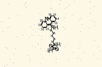 CC(C)S(=O)(=O)NCCCCCNc1c2ccccc2nc2ccccc12